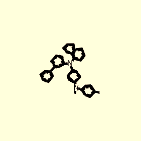 Cc1ccc(N(C)c2ccc(N(c3cccc(-c4ccccc4)c3)c3cccc4ccccc34)cc2)cc1